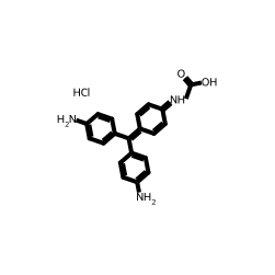 CC(=O)O.Cl.N=C1C=CC(=C(c2ccc(N)cc2)c2ccc(N)cc2)C=C1